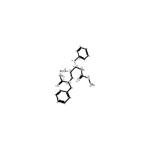 CC(=O)O[C@@H](C[C@@H](Cc1ccccc1)C(N)=S)[C@H](Cc1ccccc1)NC(=O)OC(C)(C)C